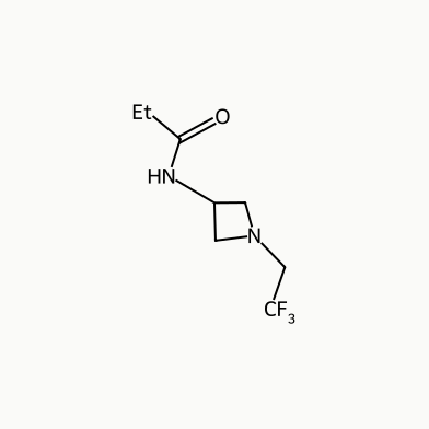 CCC(=O)NC1CN(CC(F)(F)F)C1